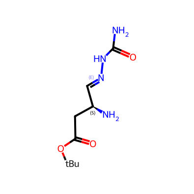 CC(C)(C)OC(=O)C[C@H](N)/C=N/NC(N)=O